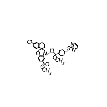 COC(=O)c1ccc2c(c1)N(C[C@@H]1CC[C@H]1[C@H](OC)C1=CC[C@H](CSc3ncccn3)CC1)CC1(CCCc3cc(Cl)ccc31)CO2